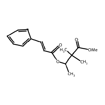 COC(=O)C(C)(C)C(C)OC(=O)/C=C/c1ccccc1